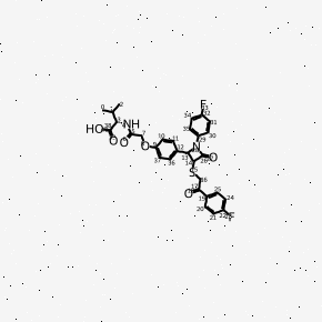 CC(C)[C@H](NC(=O)COc1ccc(C2C(SCC(=O)c3ccc(F)cc3)C(=O)N2c2ccc(F)cc2)cc1)C(=O)O